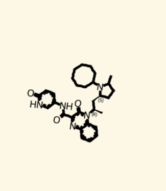 CC1CC[C@@H](C[C@@H](C)n2c(=O)c(C(=O)Nc3ccc(=O)[nH]c3)nc3ccccc32)N1C1CCCCCCC1